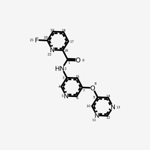 O=C(Nc1cncc(Oc2cncnc2)c1)c1cccc(F)n1